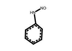 O=[N+]Nc1ccccc1